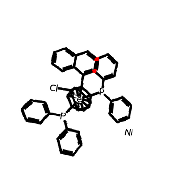 Cl[C]12[CH]3[CH]4[C]5(P(c6ccccc6)c6ccccc6)[C]1(c1cccc6ccccc16)[Fe]34251678[CH]2[CH]1[CH]6[C]7(P(c1ccccc1)c1ccccc1)[CH]28.[Ni]